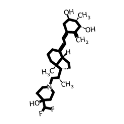 C=C1/C(=C\C=C2/CCC[C@]3(C)[C@@H]([C@H](C)CN4CCC(O)(C(F)F)CC4)CC[C@@H]23)C[C@@H](O)[C@H](C)[C@@H]1O